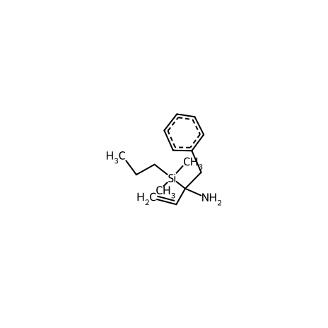 C=CC(N)(Cc1ccccc1)[Si](C)(C)CCC